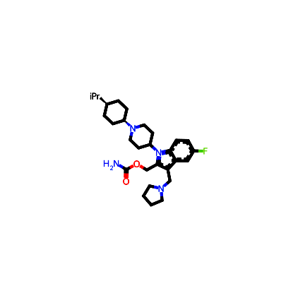 CC(C)[C@H]1CC[C@@H](N2CCC(n3c(COC(N)=O)c(CN4CCCC4)c4cc(F)ccc43)CC2)CC1